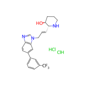 Cl.Cl.O[C@H]1CCCN[C@@H]1/C=C/Cn1cnc2ccc(-c3cccc(C(F)(F)F)c3)cc21